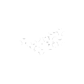 CN1c2cc3c(cc2B2c4ccccc4Sc4cc(Oc5ccccc5)cc1c42)B1c2ccccc2N(c2ccccc2)c2cc(Oc4ccccc4)cc(c21)N3C